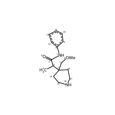 COCC1(C(C)C(=O)Nc2ccccc2)CCNCC1